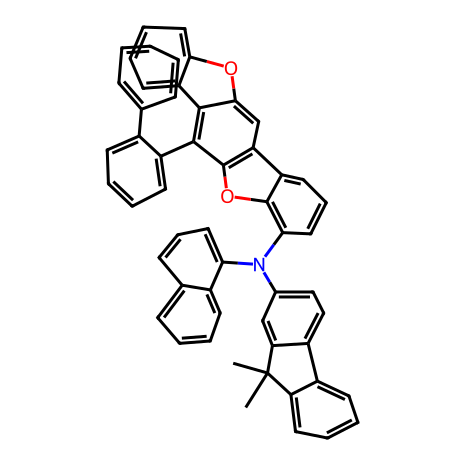 CC1(C)c2ccccc2-c2ccc(N(c3cccc4ccccc34)c3cccc4c3oc3c(-c5ccccc5-c5ccccc5)c5c(cc34)oc3ccccc35)cc21